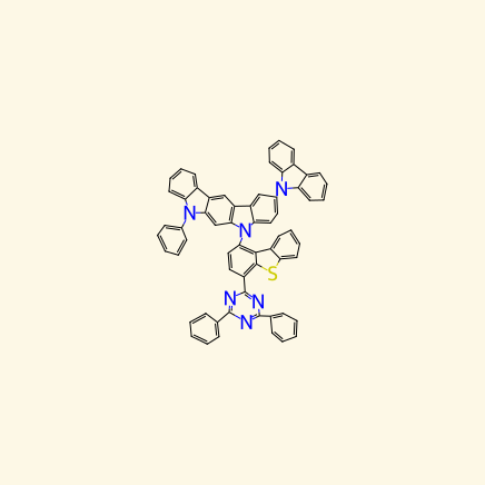 c1ccc(-c2nc(-c3ccccc3)nc(-c3ccc(-n4c5ccc(-n6c7ccccc7c7ccccc76)cc5c5cc6c7ccccc7n(-c7ccccc7)c6cc54)c4c3sc3ccccc34)n2)cc1